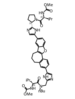 CCCCN(Cc1ncc(-c2ccc3c(c2)CCCc2c-3oc3ccc(-c4cnc([C@@H]5CCCN5C(=O)[C@@H](NC(=O)OC)C(C)C)[nH]4)cc23)[nH]1)C(=O)[C@@H](NC(=O)OC)C(C)C